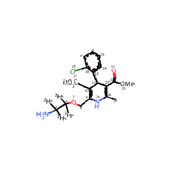 [2H]C([2H])(N)C([2H])([2H])OCC1=C(C(=O)OCC)C(c2ccccc2Cl)C(C(=O)OC)=C(C)N1